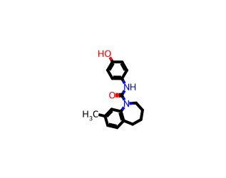 Cc1ccc2c(c1)N(C(=O)Nc1ccc(O)cc1)CCCC2